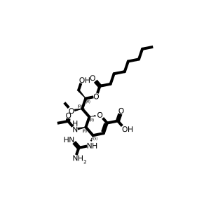 CCCCCCCC(=O)O[C@H](CO)[C@H](OC)[C@@H]1OC(C(=O)O)=C[C@H](NC(=N)N)[C@H]1NC(C)=O